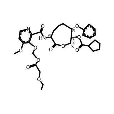 CCOCC(=O)OCOc1c(OC)ccnc1C(=O)N[C@H]1CCC[C@H](Oc2ccccc2)[C@@H](OC(=O)C2CCCC2)[C@H](C)OC1=O